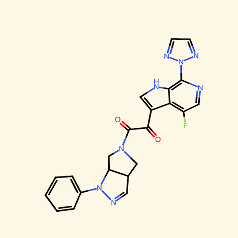 O=C(C(=O)N1CC2C=NN(c3ccccc3)C2C1)c1c[nH]c2c(-n3nccn3)ncc(F)c12